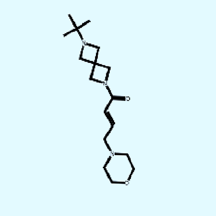 CC(C)(C)N1CC2(CN(C(=O)/C=C/CN3CCOCC3)C2)C1